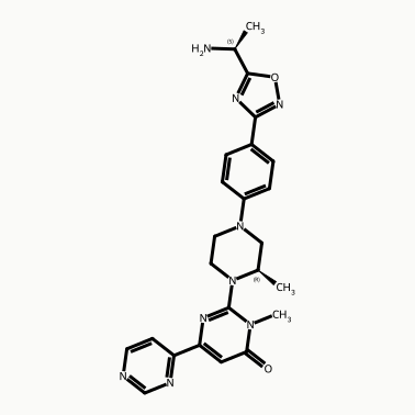 C[C@H](N)c1nc(-c2ccc(N3CCN(c4nc(-c5ccncn5)cc(=O)n4C)[C@H](C)C3)cc2)no1